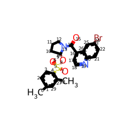 Cc1ccc(S(=O)(=O)O[C@@H]2CCCN2C(=O)c2ccnc3ccc(Br)cc23)c(C)c1